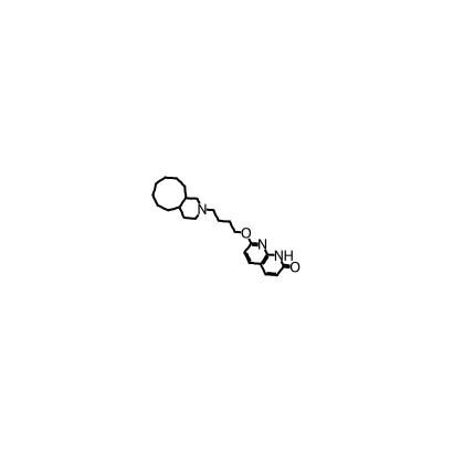 O=c1ccc2ccc(OCCCCN3CCC4CCCCCCCC4C3)nc2[nH]1